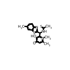 CC(=S)NC(c1nc2ccc(C)cc2s1)c1c(O)c(=O)cc(C)n1C